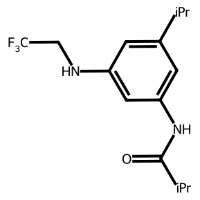 CC(C)C(=O)Nc1cc(NCC(F)(F)F)cc(C(C)C)c1